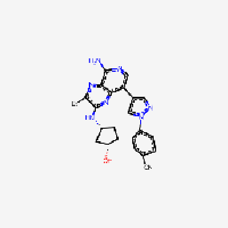 CCc1nc2c(N)ncc(-c3cnn(-c4ccc(C#N)cc4)c3)c2nc1N[C@@H]1CC[C@H](O)C1